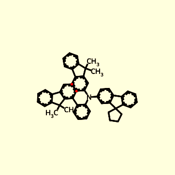 CC1(C)c2ccccc2-c2ccc(N(c3ccc4c(c3)C3(CCCC3)c3ccccc3-4)c3ccccc3-c3cccc4c3C(C)(C)c3ccccc3-4)cc21